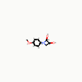 COc1ccc(N2CC(=O)C2=O)cc1